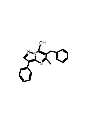 Cc1nc2c(-c3ccccc3)cnn2c(O)c1Cc1ccccc1